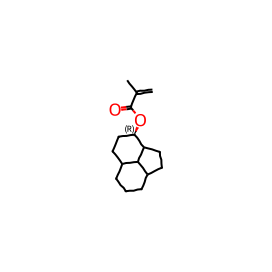 C=C(C)C(=O)O[C@@H]1CCC2CCCC3CCC1C32